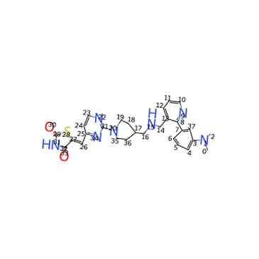 CN(C)c1cccc(-c2ncccc2CNCC2CCN(c3nccc(/C=C4\SC(=O)NC4=O)n3)CC2)c1